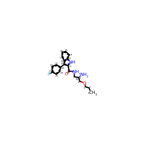 CCCOC[C@H](N)CNC(=O)c1[nH]c2ccccc2c1-c1ccc(F)cc1